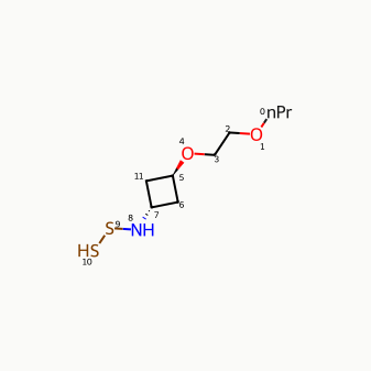 CCCOCCO[C@H]1C[C@H](NSS)C1